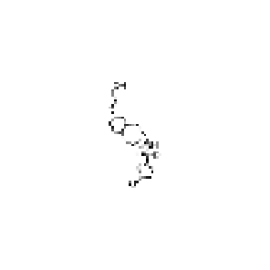 O=S(=O)(NC1C2CCC1Cc1cc(C=CCO)ccc1C2)c1ccc(Cl)s1